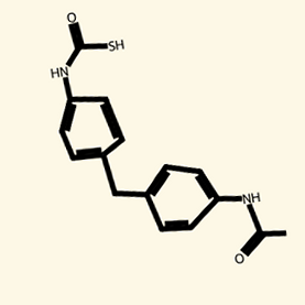 CC(=O)Nc1ccc(Cc2ccc(NC(=O)S)cc2)cc1